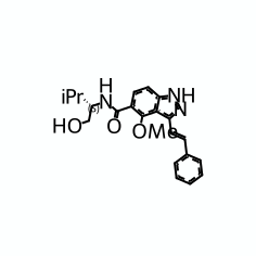 COc1c(C(=O)N[C@H](CO)C(C)C)ccc2[nH]nc(C=Cc3ccccc3)c12